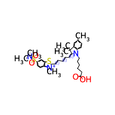 Cc1ccc2c(c1)C(C)(C)\C(=C/C=C/C=C/c1sc3cc(S(=O)(=O)N(C)C)ccc3[n+]1C)N2CCCCCC(=O)O